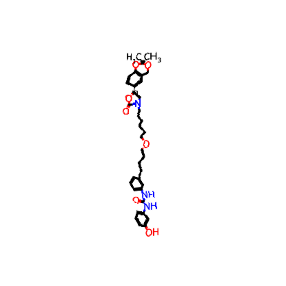 CC1(C)OCc2cc([C@@H]3CN(CCCCCCOCCCCc4cccc(NC(=O)Nc5cccc(O)c5)c4)C(=O)O3)ccc2O1